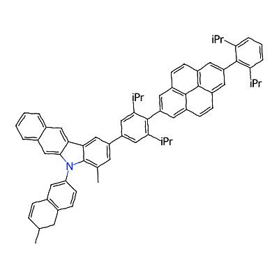 Cc1cc(-c2cc(C(C)C)c(-c3cc4ccc5cc(-c6c(C(C)C)cccc6C(C)C)cc6ccc(c3)c4c56)c(C(C)C)c2)cc2c3cc4ccccc4cc3n(-c3ccc4c(c3)C=CC(C)C4)c12